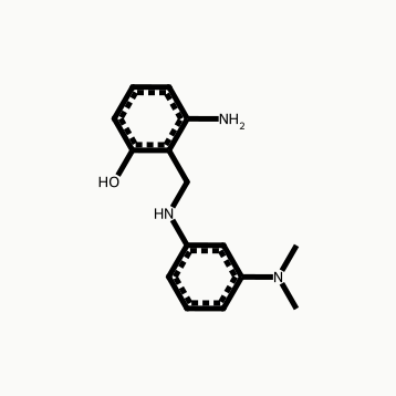 CN(C)c1cccc(NCc2c(N)cccc2O)c1